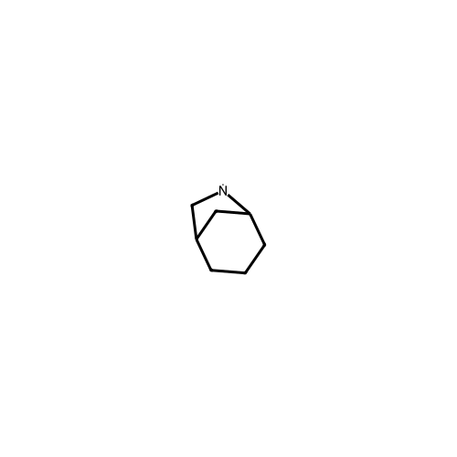 C1CC2C[N]C(C1)C2